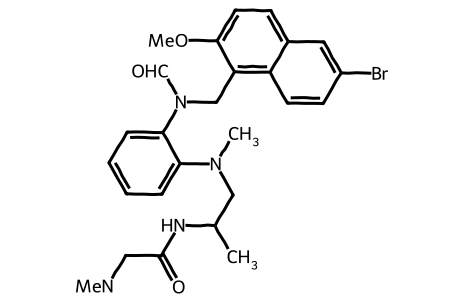 CNCC(=O)NC(C)CN(C)c1ccccc1N(C=O)Cc1c(OC)ccc2cc(Br)ccc12